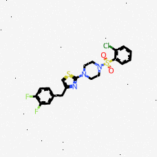 O=S(=O)(c1ccccc1Cl)N1CCN(c2nc(Cc3ccc(F)c(F)c3)cs2)CC1